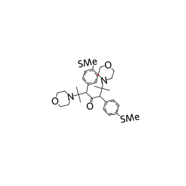 CSc1ccc(C(C(=O)C(c2ccc(SC)cc2)C(C)(C)N2CCOCC2)C(C)(C)N2CCOCC2)cc1